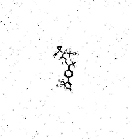 CC(C)(F)C[C@H](N[C@@H](c1ccc(C2=CC(=O)OC2(C)C)cc1)C(F)(F)F)C(=O)NC1(C#N)CC1